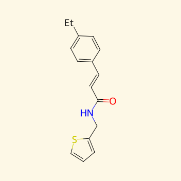 CCc1ccc(C=CC(=O)NCc2cccs2)cc1